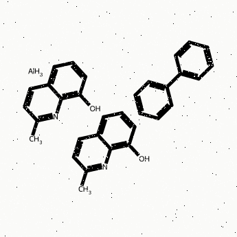 Cc1ccc2cccc(O)c2n1.Cc1ccc2cccc(O)c2n1.[AlH3].c1ccc(-c2ccccc2)cc1